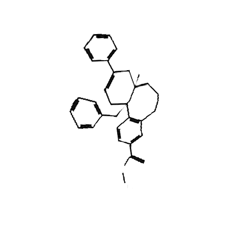 COC(=O)c1ccc2c(c1)CCC[C@H]1CC(c3ccccc3)=CC[C@@]21Cc1ccccc1